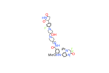 COc1cc(C(=O)NN2CC3(CCN(CC4(O)CCN(c5ccc(C6CCC(=O)NC6=O)cc5F)CC4)CC3)C2)ccc1Nc1ccc2c(c1)N(C(C)C)CC(F)(F)C(=O)N2C